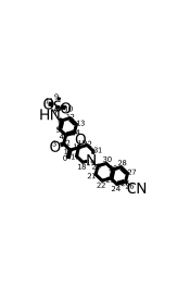 C=C1C(=O)c2cc(NS(C)(=O)=O)ccc2OC12CCN([C@H]1CCc3cc(C#N)ccc3C1)CC2